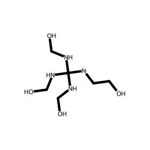 OCC[N]C(NCO)(NCO)NCO